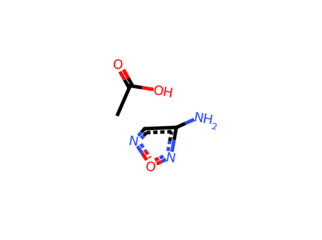 CC(=O)O.Nc1cnon1